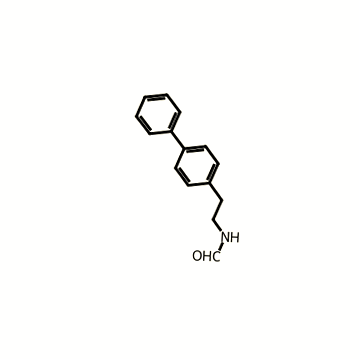 O=CNCCc1ccc(-c2ccccc2)cc1